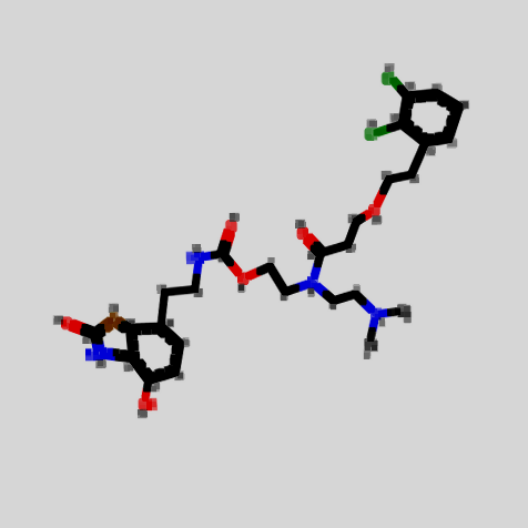 CCN(CC)CCN(CCOC(=O)NCCc1ccc(O)c2[nH]c(=O)sc12)C(=O)CCOCCc1cccc(Cl)c1Cl